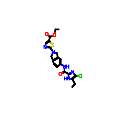 CCOC(=O)c1cnc(N2Cc3ccc(NC(=O)c4nc(Cl)c(CC)[nH]4)cc3C2)s1